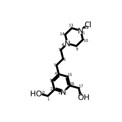 OCc1cc(CCCN2CCN(Cl)CC2)cc(CO)n1